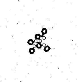 O=C(c1ccccc1)c1cccc(Oc2ccccc2Oc2ccccc2)c1Oc1ccccc1Oc1ccccc1